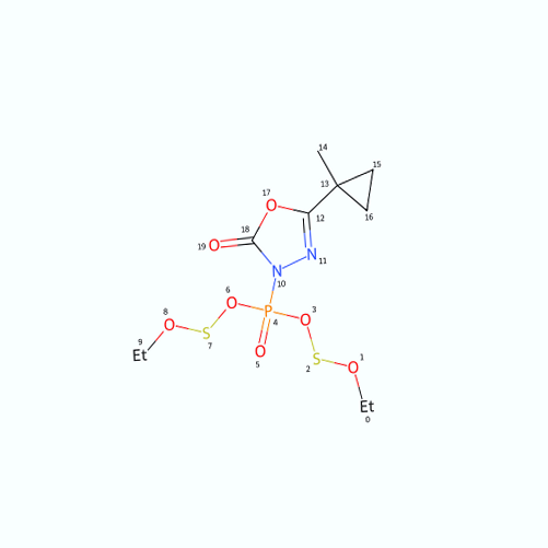 CCOSOP(=O)(OSOCC)n1nc(C2(C)CC2)oc1=O